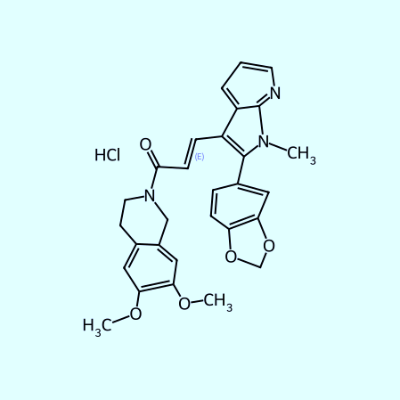 COc1cc2c(cc1OC)CN(C(=O)/C=C/c1c(-c3ccc4c(c3)OCO4)n(C)c3ncccc13)CC2.Cl